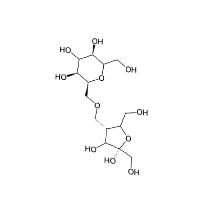 OCC1O[C@@H](COC[C@@H]2C(CO)O[C@@](O)(CO)C2O)[C@@H](O)C(O)[C@H]1O